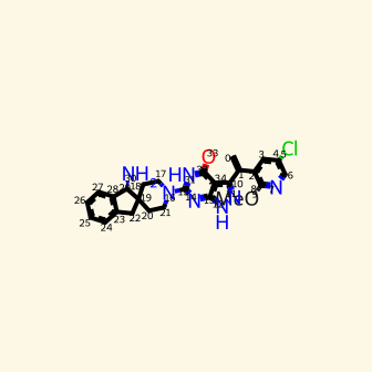 C=C(c1cc(Cl)cnc1OC)c1n[nH]c2nc(N3CCC4(CC3)Cc3ccccc3[C@H]4N)[nH]c(=O)c12